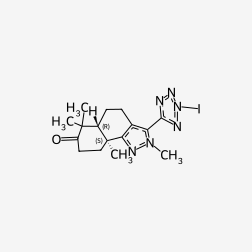 Cn1nc2c(c1-c1nnn(I)n1)CC[C@H]1C(C)(C)C(=O)CC[C@]21C